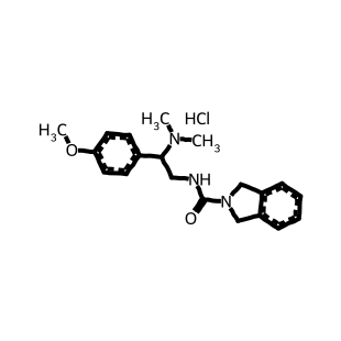 COc1ccc(C(CNC(=O)N2Cc3ccccc3C2)N(C)C)cc1.Cl